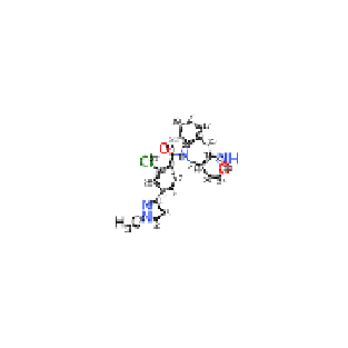 Cn1ccc(-c2ccc(C(=O)N3CC4=C(Cc5ccccc53)NOC=C4)c(Cl)c2)n1